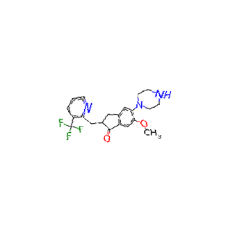 COc1cc2c(cc1N1CCNCC1)CC(Cc1ncccc1C(F)(F)F)C2=O